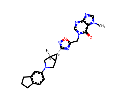 Cn1cnc2ncn(Cc3nc([C@@H]4C5CN(c6ccc7c(c6)CCC7)C[C@H]54)no3)c(=O)c21